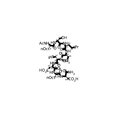 CCCCCCCC[C@H](NC(C)=O)C(=O)N[C@@H](CO)C(=O)N[C@@H](CCC(C)C)C(=O)N[C@@H](CO)C(=O)N(C)[C@@H](CC(C)C)C(=O)N[C@@H](CC(=O)O)C(=O)N[C@@H](CCCCCCCC)C(=O)N[C@@H](CC(=O)O)C(N)=O